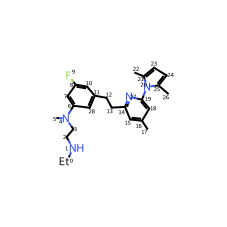 CCNCCN(C)c1cc(F)cc(CCc2cc(C)cc(-n3c(C)ccc3C)n2)c1